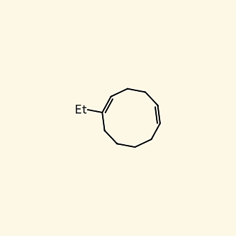 CCC1=CCCC=CCCCC1